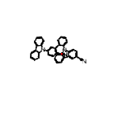 N#Cc1ccc2c(c1)c1ccccc1n2-c1ccccc1-c1cc(-n2c3ccccc3c3ccccc32)ccc1C#N